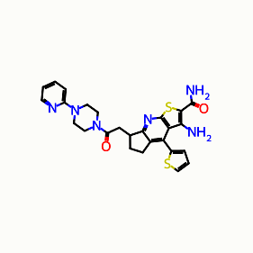 NC(=O)c1sc2nc3c(c(-c4cccs4)c2c1N)CCC3CC(=O)N1CCN(c2ccccn2)CC1